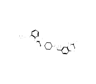 COc1cccc2oc(C(=O)[C@H]3CC[C@H](NCc4ccc5c(c4)NC(=O)CO5)CC3)nc12